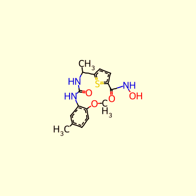 COc1ccc(C)cc1NC(=O)NC(C)c1ccc(C(=O)NO)s1